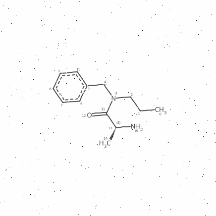 CCCN([CH]c1ccccc1)C(=O)[C@H](C)N